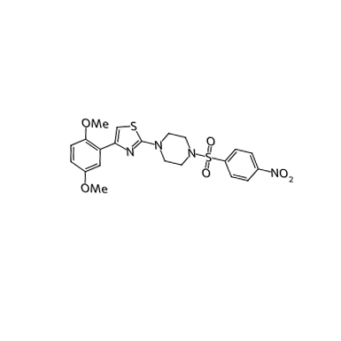 COc1ccc(OC)c(-c2csc(N3CCN(S(=O)(=O)c4ccc([N+](=O)[O-])cc4)CC3)n2)c1